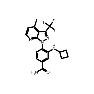 NC(=O)c1ccc(-n2nc(C(F)(F)F)c3c(I)ccnc32)c(NC2CCC2)c1